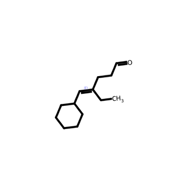 CC/C(=C\C1CCCCC1)CCC=O